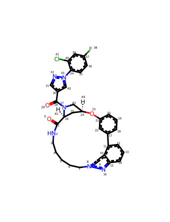 O=C1NCCCCCn2cc3c(cccc3n2)-c2cccc(c2)O[C@H]2C[C@@H]1N(C(=O)c1cnn(-c3ccc(F)cc3Cl)c1)C2